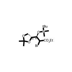 CCOC(=O)C(Br)[C@H](O[Si](C)(C)C(C)(C)C)[C@H]1COC(C)(C)O1